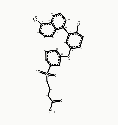 NC(=O)CCCS(=O)(=O)c1cccc(Oc2ccc(Cl)c(-c3ncnc4c(C(F)(F)F)cccc34)c2)c1